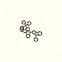 c1ccc(-n2c3ccccc3c3ccc(N(c4ccc(C(c5ccccc5)(c5ccccc5)c5ccccc5)cc4)c4ccccc4-c4ccc5ccccc5c4)cc32)cc1